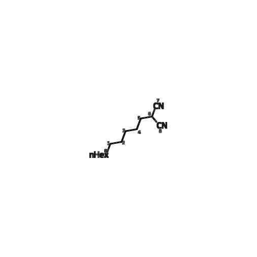 CCCCCCCCCCCC(C#N)C#N